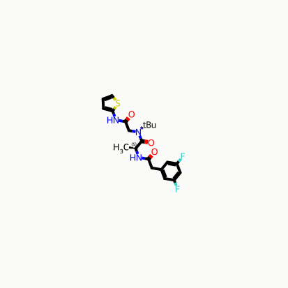 C[C@H](NC(=O)Cc1cc(F)cc(F)c1)C(=O)N(CC(=O)Nc1cccs1)C(C)(C)C